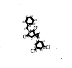 O=C1CC2(C[C@@H]2c2cc(Cl)cc(Cl)c2)C(=O)N1Cc1ccccc1